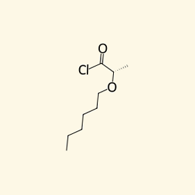 CCCCCCO[C@@H](C)C(=O)Cl